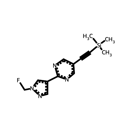 C[Si](C)(C)C#Cc1cnc(-c2cnn(CF)c2)nc1